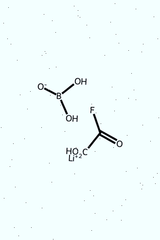 O=C(O)C(=O)F.[Li+].[O-]B(O)O